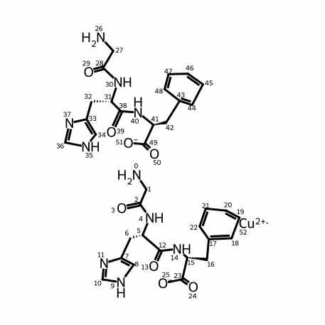 NCC(=O)N[C@@H](Cc1c[nH]cn1)C(=O)N[C@@H](Cc1ccccc1)C(=O)[O-].NCC(=O)N[C@@H](Cc1c[nH]cn1)C(=O)N[C@@H](Cc1ccccc1)C(=O)[O-].[Cu+2]